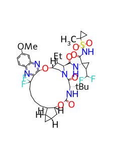 CC[C@@H]1[C@@H]2CN(C(=O)[C@H](C(C)(C)C)NC(=O)O[C@@H]3C[C@@H]4C[C@@H]4[C@H]3CCCCC(F)(F)c3nc4ccc(OC)cc4nc3O2)[C@@H]1C(=O)N[C@]1(C(=O)NS(=O)(=O)C2(C)CC2)CC1C(F)F